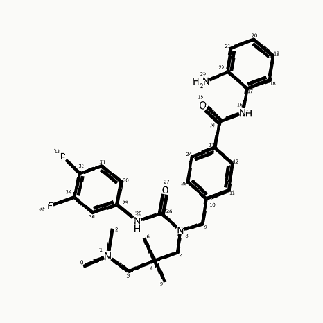 CN(C)CC(C)(C)CN(Cc1ccc(C(=O)Nc2ccccc2N)cc1)C(=O)Nc1ccc(F)c(F)c1